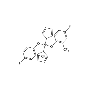 Fc1ccc([O][Zr]([O]c2ccc(F)cc2C(F)(F)F)([CH]2C=CC=C2)[CH]2C=CC=C2)c(C(F)(F)F)c1